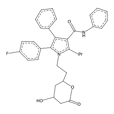 CC(C)c1c(C(=O)Nc2ccccc2)c(-c2ccccc2)c(-c2ccc(F)cc2)n1CCC1CC(O)CC(=O)O1